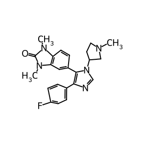 CN1CCC(n2cnc(-c3ccc(F)cc3)c2-c2ccc3c(c2)n(C)c(=O)n3C)C1